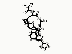 CC(C)C1NC(=O)C(NC(=O)[C@@H](O)C(C)C)Cc2ccc3c(c2)[C@@]2(c4ccccc4NC2O3)c2oc1nc2-c1nc(-c2nnn[nH]2)co1